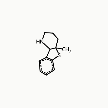 CC12CCCNC1c1ccccc1S2